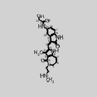 CNCCN1CCCc2[nH]c(C=C3C(=O)Nc4ccc(NC(=O)CO)cc43)c(C)c2C1=O